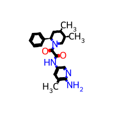 Cc1cc(NC(=O)C(=O)N2C[C@H](C)[C@H](C)C[C@@H]2c2ccccc2)cnc1N